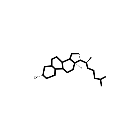 CC(C)CCC[C@H](C)[C@H]1CCC2C3CCC4C[C@@H](Cl)CCC4C3CC[C@@]21C